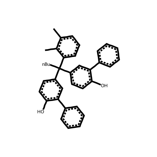 CCCCC(c1ccc(O)c(-c2ccccc2)c1)(c1ccc(O)c(-c2ccccc2)c1)c1cccc(C)c1C